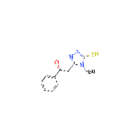 CCCCn1c(S)nnc1CC(=O)c1ccccc1